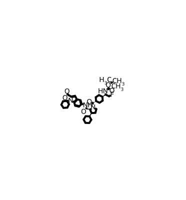 CC(C)(C)OC(=O)NC(CF)[C@H]1CC[C@H](C(=O)N2CC[C@@H](C3CCCCC3)[C@H]2C(=O)Nc2ccc3c(c2)cc2n3C3(CCCCC3)OC2=O)CC1